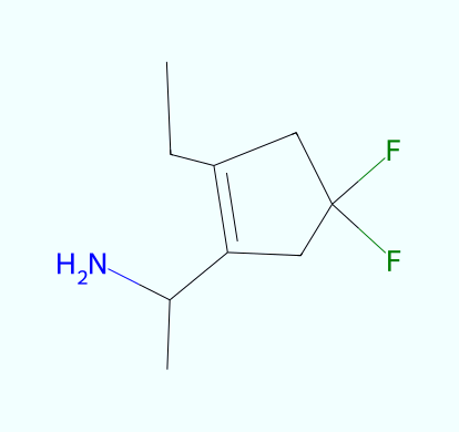 CCC1=C(C(C)N)CC(F)(F)C1